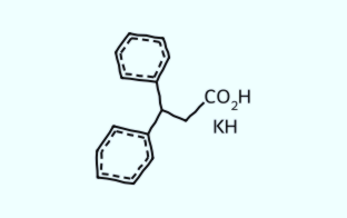 O=C(O)CC(c1ccccc1)c1ccccc1.[KH]